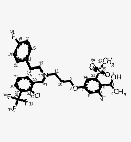 CC(O)c1c(F)cc(OCCCN(CCc2ccc(F)cc2)Cc2cccc(C(F)(F)F)c2Cl)cc1S(C)(=O)=O